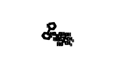 CC(C)(O)C(C)(C)O.OB(O)O.c1ccc(-c2ccccn2)nc1